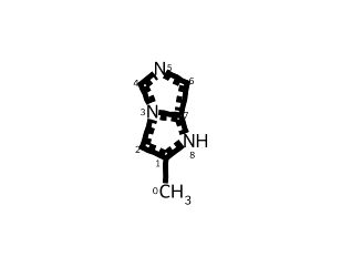 Cc1cn2cncc2[nH]1